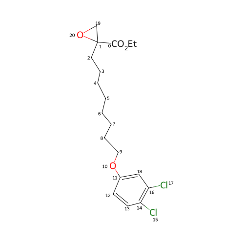 CCOC(=O)C1(CCCCCCCCOc2ccc(Cl)c(Cl)c2)CO1